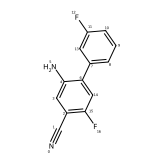 N#Cc1cc(N)c(-c2cccc(F)c2)cc1F